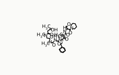 C[C@@H](O)CC(=O)N(C)CC(=O)N(C)C(=O)NC(=O)N(C)[C@@H](CCc1ccccc1)C(=O)N(C)C(=O)N[C@@H](C=O)C(=O)N1CCCCC1